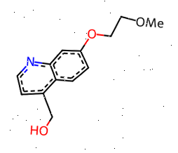 COCCOc1ccc2c(CO)ccnc2c1